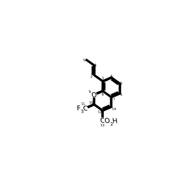 CC=Cc1cccc2c1OC(C(F)(F)F)C(C(=O)O)=C2